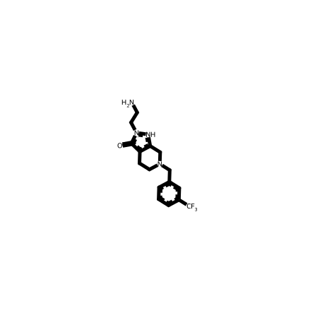 NCCn1[nH]c2c(c1=O)CCN(Cc1cccc(C(F)(F)F)c1)C2